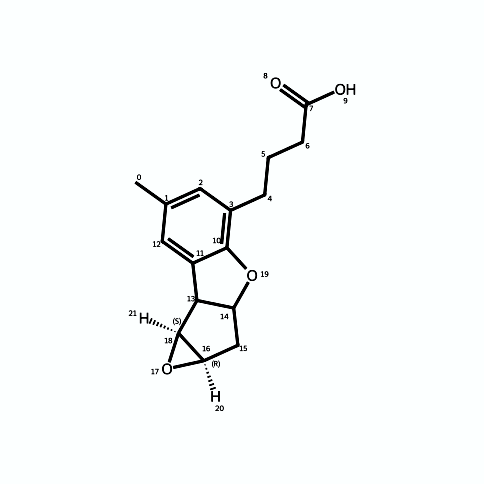 Cc1cc(CCCC(=O)O)c2c(c1)C1C(C[C@H]3O[C@@H]13)O2